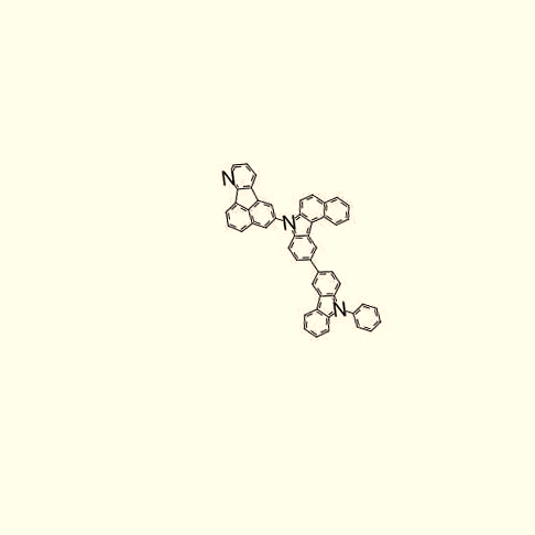 c1ccc(-n2c3ccccc3c3cc(-c4ccc5c(c4)c4c6ccccc6ccc4n5-c4cc5c6c(cccc6c4)-c4ncccc4-5)ccc32)cc1